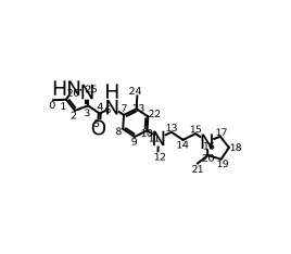 Cc1cc(C(=O)Nc2ccc(N(C)CCCN3CCCC3C)cc2C)n[nH]1